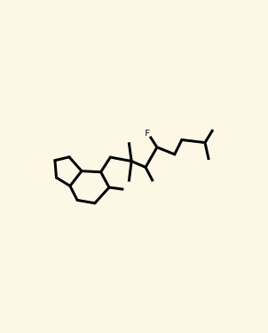 CC(C)CCC(F)C(C)C(C)(C)CC1C(C)CCC2CCCC21